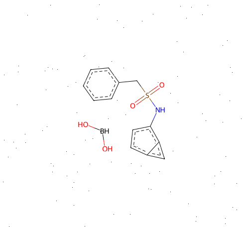 O=S(=O)(Cc1ccccc1)Nc1ccc2cc1-2.OBO